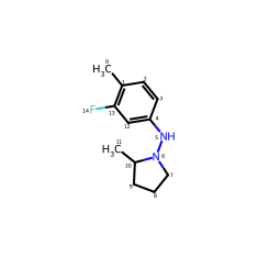 Cc1ccc(NN2CCCC2C)cc1F